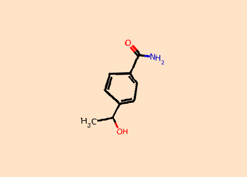 CC(O)c1ccc(C(N)=O)cc1